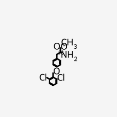 COC(=O)[C@@H](N)Cc1ccc(OCc2c(Cl)cccc2Cl)cc1